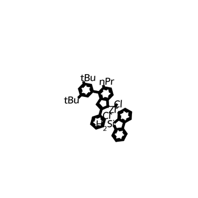 CCCc1ccc2c(c1-c1cc(C(C)(C)C)cc(C(C)(C)C)c1)C=C(c1ccccc1)[CH]2[Zr]([Cl])([Cl])[c]1cccc2c1[SiH2]c1ccccc1-2